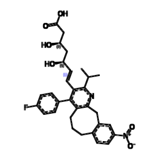 CC(C)c1nc2c(c(-c3ccc(F)cc3)c1/C=C/[C@@H](O)C[C@@H](O)CC(=O)O)CCCc1ccc([N+](=O)[O-])cc1C2